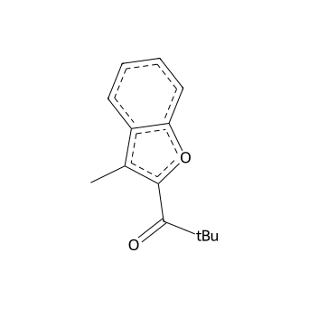 Cc1c(C(=O)C(C)(C)C)oc2ccccc12